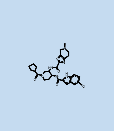 CN1CCc2nc(C(=O)NC3CN(C(=O)C4CCCC4)CCC3NC(=O)c3cc4cc(Cl)ccc4[nH]3)sc2C1